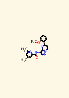 Cc1cc(C)nc(C(=O)Nc2cnn3ccc(-c4ccccc4OC(F)(F)F)nc23)c1